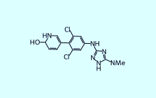 CNc1nc(Nc2cc(Cl)c(C3=CNC(O)C=C3)c(Cl)c2)n[nH]1